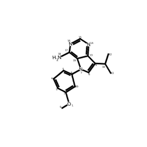 COc1cccc(-n2cc(C(C)C)c3ncnc(N)c32)c1